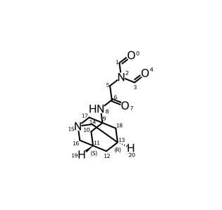 O=CN(C=O)CC(=O)NC12C[C@@H]3C[C@@H](CN(C3)C1)C2